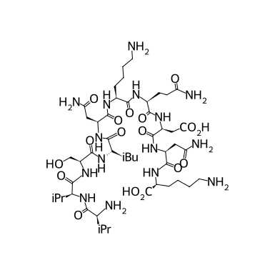 CC[C@H](C)[C@H](NC(=O)[C@H](CO)NC(=O)[C@@H](NC(=O)[C@@H](N)C(C)C)C(C)C)C(=O)N[C@@H](CC(N)=O)C(=O)N[C@@H](CCCCN)C(=O)N[C@@H](CCC(N)=O)C(=O)N[C@@H](CC(=O)O)C(=O)N[C@@H](CC(N)=O)C(=O)N[C@@H](CCCCN)C(=O)O